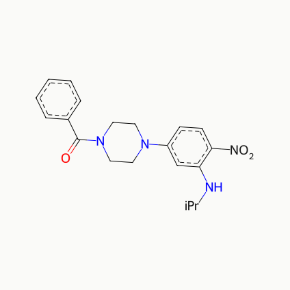 CC(C)Nc1cc(N2CCN(C(=O)c3ccccc3)CC2)ccc1[N+](=O)[O-]